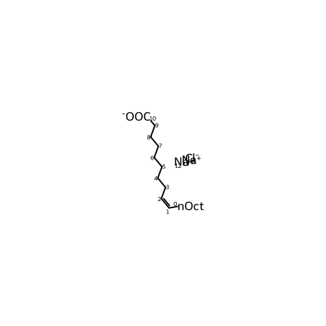 CCCCCCCC/C=C\CCCCCCCC(=O)[O-].[Cl-].[Na+].[Na+]